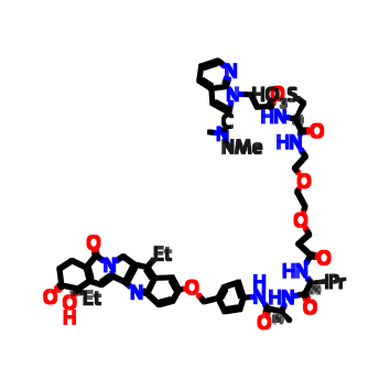 CCc1c2c(nc3ccc(OCc4ccc(NC(=O)[C@H](C)NC(=O)[C@@H](NC(=O)CCOCCOCCNC(=O)[C@H](CS(=O)(=O)O)NC(=O)CCn5c(CN(C)NC)cc6cccnc65)C(C)C)cc4)cc13)-c1cc3c(c(=O)n1C2)CCC(=O)[C@]3(O)CC